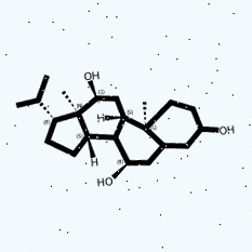 CC(C)[C@H]1CC[C@H]2C3[C@H](O)CC4CC(O)CC[C@]4(C)[C@H]3C[C@H](O)[C@]12C